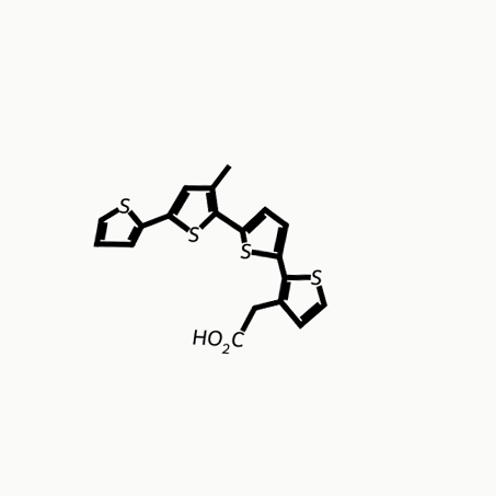 Cc1cc(-c2cccs2)sc1-c1ccc(-c2sccc2CC(=O)O)s1